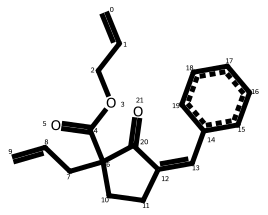 C=CCOC(=O)C1(CC=C)CCC(=Cc2ccccc2)C1=O